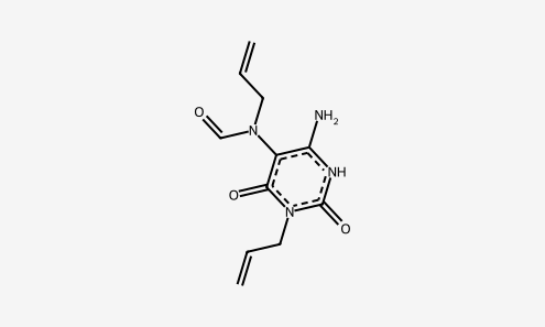 C=CCN(C=O)c1c(N)[nH]c(=O)n(CC=C)c1=O